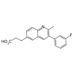 Cc1nc2ccc(CCC(=O)O)cc2cc1-c1cccc(F)c1